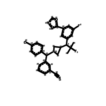 CC(C)(F)C(c1cc(F)cc(-c2nnco2)c1)C1CN(C(c2ccc(Cl)cc2)c2cccc(C#N)c2)C1